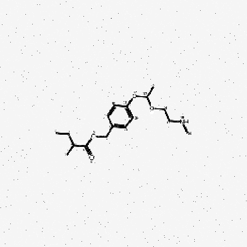 CCC(C)C(=O)OCc1ccc(OC(C)OCCNC)cc1